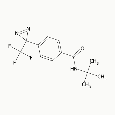 CC(C)(C)NC(=O)c1ccc(C2(C(F)(F)F)N=N2)cc1